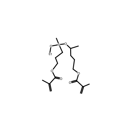 C=C(C)C(=O)OCCCC(C)O[Si](C)(CCCOC(=O)C(=C)C)OCC